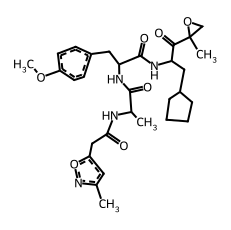 COc1ccc(CC(NC(=O)C(C)NC(=O)Cc2cc(C)no2)C(=O)NC(CC2CCCC2)C(=O)C2(C)CO2)cc1